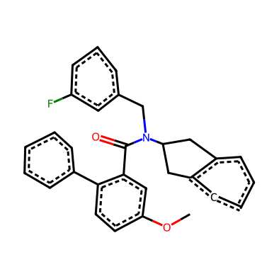 COc1ccc(-c2ccccc2)c(C(=O)N(Cc2cccc(F)c2)C2Cc3ccccc3C2)c1